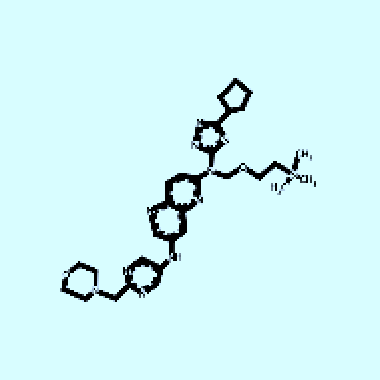 C[Si](C)(C)CCOCN(c1ccc2ncc(Nc3cnc(CN4CCOCC4)nc3)cc2n1)c1nnc(C2CCCC2)s1